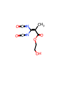 CC(C(=O)OCCO)=C(N=C=O)N=C=O